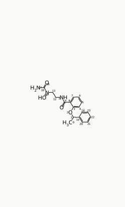 CC(Oc1ccccc1C(=O)NCCN(O)C(N)=O)c1ccccc1